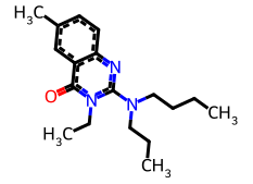 CCCCN(CCC)c1nc2ccc(C)cc2c(=O)n1CC